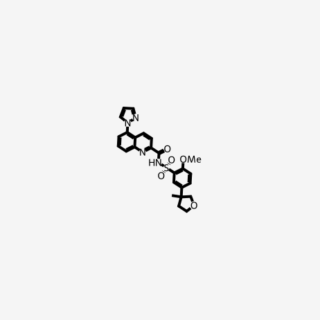 COc1ccc(C2(C)CCOC2)cc1S(=O)(=O)NC(=O)c1ccc2c(-n3cccn3)cccc2n1